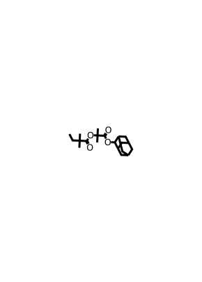 CCC(C)(C)C(=O)OC(C)(C)C(=O)OC1C2CC3CC(C2)CC1C3